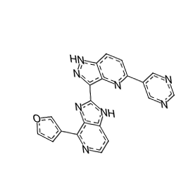 c1ncc(-c2ccc3[nH]nc(-c4nc5c(-c6ccoc6)nccc5[nH]4)c3n2)cn1